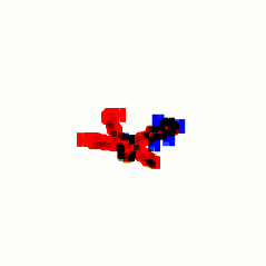 C=C(C)CSCCOCCOCCOCCOc1ccc(-c2nc3c(-c4ccc(C)s4)c4nsnc4c(-c4ccc(-c5c6nsnc6c(C)c6nc(-c7ccc(OCCOCCOCCOCCSCC(=O)O)cc7)c(-c7ccc(OCCOCCOCCOCCSOC(=O)O)cc7)nc56)s4)c3nc2-c2ccc(OCCOCCOCCOCCSCC(=O)NCCNC(=O)CCCC[C@@H]3SC[C@@H]4NC(=O)N[C@@H]43)cc2)cc1